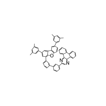 Cc1cc(C)cc(-c2ccc3oc4c(-c5cccc(-c6cccc(-c7cnc8c9ccccc9c9ccccc9c8n7)c6)c5)cc(-c5cc(C)cc(C)c5)cc4c3c2)c1